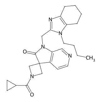 CCCCn1c(CN2C(=O)C3(CN(C(=O)C4CC4)C3)c3ccncc32)nc2c1CCCC2